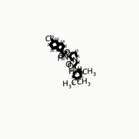 CC1(C)C[C@@H]2C[C@@](C)(CN2C(=O)CN2CCC[C@H](NS(=O)(=O)c3ccc4cc(Cl)ccc4c3)C2=O)C1